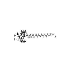 CCCCCCCCCCCCCCCCCCNC1O[C@H](CO)[C@@H](O)[C@H](O)[C@H]1NC(C)=O